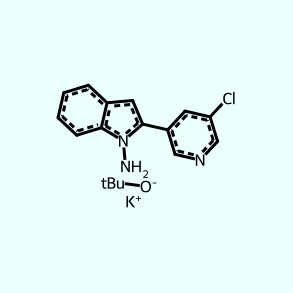 CC(C)(C)[O-].Nn1c(-c2cncc(Cl)c2)cc2ccccc21.[K+]